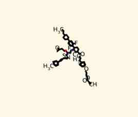 C#CC(=O)OCCCOc1ccc(CCOC(=O)C2CCC(c3c(F)cc(C4CCC(CCC)CC4)cc3F)/C(=C/C=C(\CCCC3CO3)c3ncc(C#Cc4ccc(C)cc4)s3)C2C)cc1